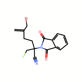 C=C(CBr)CCC(C#N)(CF)N1C(=O)c2ccccc2C1=O